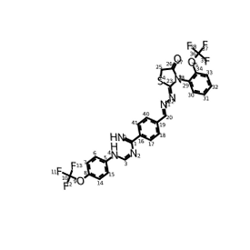 N=C(/N=C\Nc1ccc(OC(F)(F)F)cc1)c1ccc(/C=N/N=C2\SCC(=O)N2c2ccccc2OC(F)(F)F)cc1